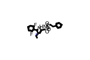 C/C=C1\C=C(C(=O)NS(=O)(=O)CCc2ccccc2)N=C1c1c(F)cccc1F